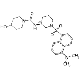 CN(C)c1cccc2c(S(=O)(=O)N3CCC[C@H](NC(=O)N4CCC(O)CC4)C3)cccc12